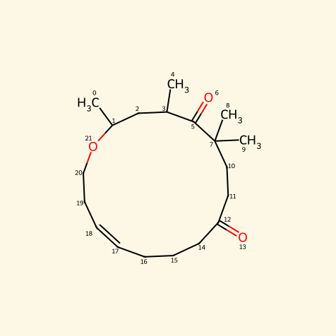 CC1CC(C)C(=O)C(C)(C)CCC(=O)CCCC=CCCO1